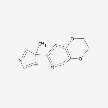 CC1(c2cc3c(cn2)OCCO3)C=NC=N1